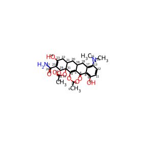 CC(=O)OC1=C2C(=O)c3c(O)ccc(N(C)C)c3CC2CC2CC(O)=C(C(N)=O)C(=O)C12OC(C)=O